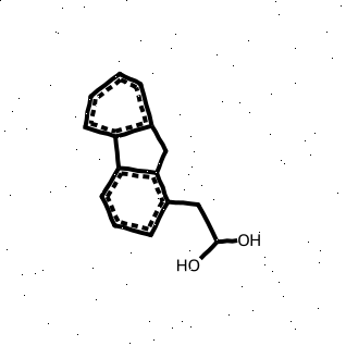 OC(O)Cc1cccc2c1Cc1ccccc1-2